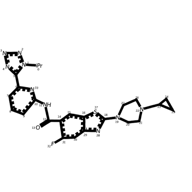 CC(C)n1nnnc1-c1cccc(NC(=O)c2cc3sc(N4CCN(C5CC5)CC4)nc3cc2F)n1